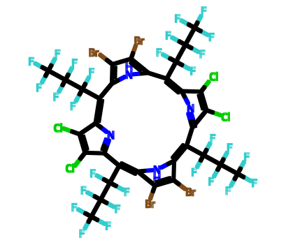 FC(F)(F)C(F)(F)C(F)(F)c1c2nc(c(C(F)(F)C(F)(F)C(F)(F)F)c3[nH]c(c(Br)c3Br)c(C(F)(F)C(F)(F)C(F)(F)F)c3nc(c(C(F)(F)C(F)(F)C(F)(F)F)c4[nH]c1c(Br)c4Br)C(Cl)=C3Cl)C(Cl)=C2Cl